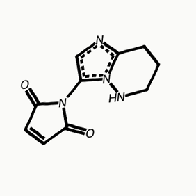 O=C1C=CC(=O)N1c1cnc2n1NCCC2